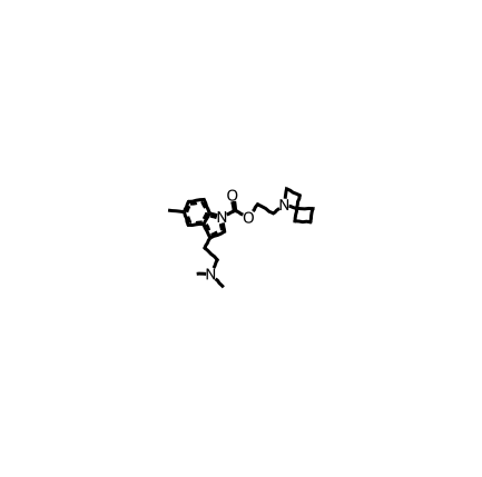 Cc1ccc2c(c1)c(CCN(C)C)cn2C(=O)OCCN1CCC12CCC2